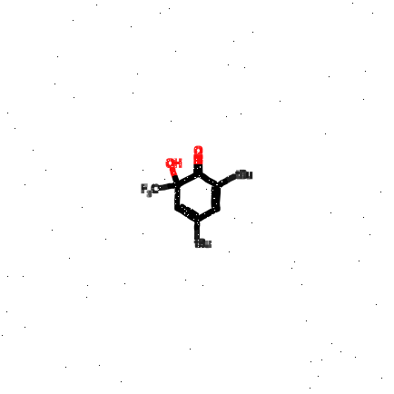 CC(C)(C)C1=CC(O)(C(F)(F)F)C(=O)C(C(C)(C)C)=C1